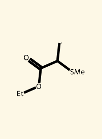 [CH2]C(SC)C(=O)OCC